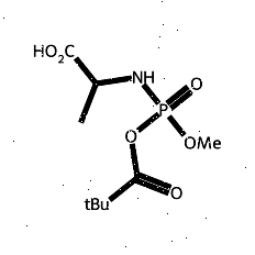 COP(=O)(NC(C)C(=O)O)OC(=O)C(C)(C)C